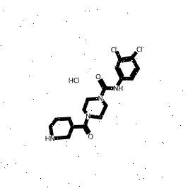 Cl.O=C(Nc1ccc(Cl)c(Cl)c1)N1CCN(C(=O)C2CCCNC2)CC1